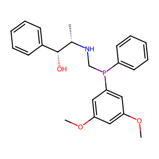 COc1cc(OC)cc(P(CN[C@@H](C)[C@H](O)c2ccccc2)c2ccccc2)c1